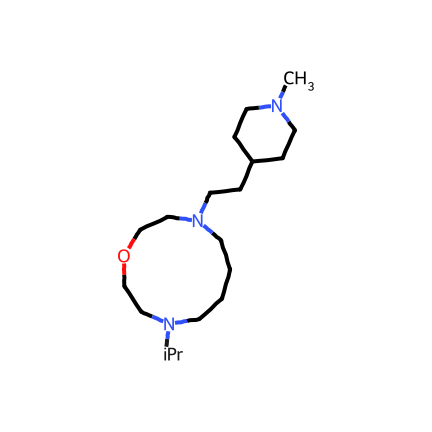 CC(C)N1CCCCN(CCC2CCN(C)CC2)CCOCC1